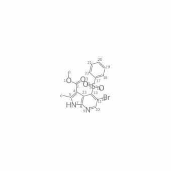 COC(=O)c1c(C)[nH]c2ncc(Br)c(S(=O)(=O)c3ccccc3)c12